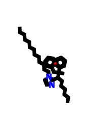 CCCCCCCCCCCCCn1ccnc1C(CCCCCC)C(C)(Cc1ccccc1)c1ccccc1